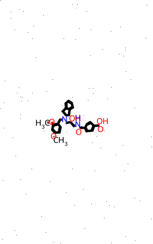 COc1ccc(CN(CC(O)CNC(=O)c2ccc(C(=O)O)cc2)C2Cc3ccccc3C2)c(OC)c1